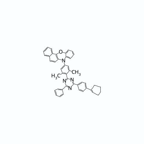 Cc1cc(N2c3ccccc3Oc3c2ccc2ccccc32)cc(C)c1-c1nc(-c2ccccc2)nc(-c2ccc(C3=CCCCC3)cc2)n1